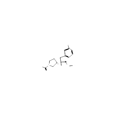 COC(=O)C(C)(Cc1cccc(Br)c1)[C@H]1CCN(C(=O)O)C1